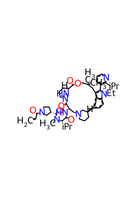 C=CC(=O)N1CC[C@H](C(=O)N(C)[C@H](C(=O)N[C@H]2CN3CCC[C@H](C3)c3ccc4c(c3)c(c(-c3cccnc3C(C)C)n4CC)CC(C)(C)COC(=O)[C@@H]3CCCN(N3)C2=O)C(C)C)C1